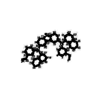 C=Cc1cccc(N(c2ccc3sc4ccc(N(c5cccc(C=C)c5)c5cccc6ccccc56)cc4c3c2)c2cccc3ccccc23)c1